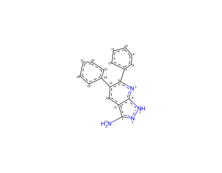 Nc1n[nH]c2nc(-c3ccccc3)c(-c3ccccc3)cc12